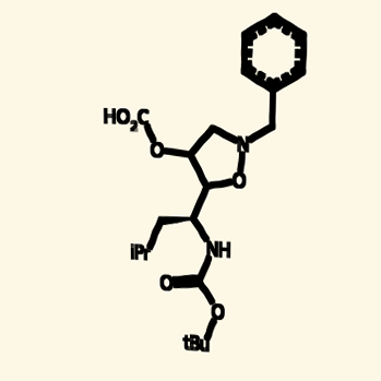 CC(C)C[C@H](NC(=O)OC(C)(C)C)C1ON(Cc2ccccc2)CC1OC(=O)O